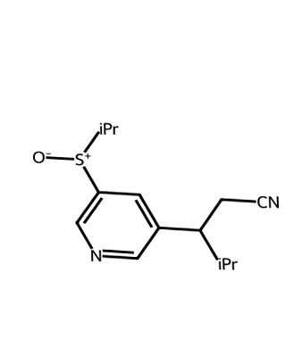 CC(C)C(CC#N)c1cncc([S+]([O-])C(C)C)c1